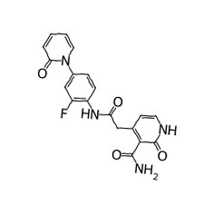 NC(=O)c1c(CC(=O)Nc2ccc(-n3ccccc3=O)cc2F)cc[nH]c1=O